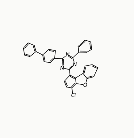 Clc1ccc(-c2nc(-c3ccccc3)nc(-c3ccc(-c4ccccc4)cc3)n2)c2c1oc1ccccc12